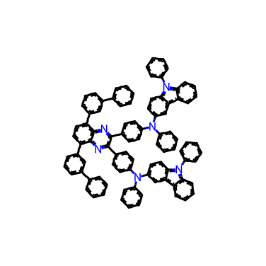 c1ccc(-c2cccc(-c3ccc(-c4cccc(-c5ccccc5)c4)c4nc(-c5ccc(N(c6ccccc6)c6ccc7c(c6)c6ccccc6n7-c6ccccc6)cc5)c(-c5ccc(N(c6ccccc6)c6ccc7c(c6)c6ccccc6n7-c6ccccc6)cc5)nc34)c2)cc1